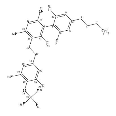 CCCCc1cc(F)c(-c2c([O])cc(F)c(CCc3cc(F)c(OC(F)(F)F)c(F)c3)c2F)c(F)c1